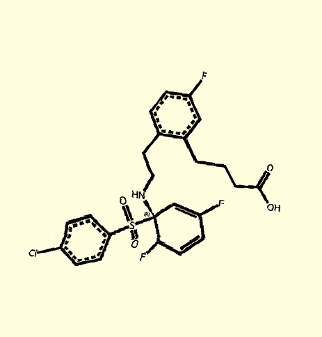 O=C(O)CCCc1cc(F)ccc1CCN[C@@]1(S(=O)(=O)c2ccc(Cl)cc2)C=C(F)C=CC1F